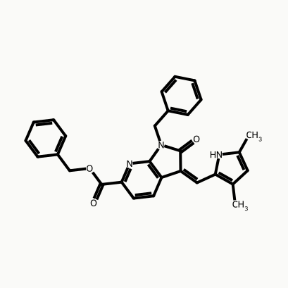 Cc1cc(C)c(/C=C2\C(=O)N(Cc3ccccc3)c3nc(C(=O)OCc4ccccc4)ccc32)[nH]1